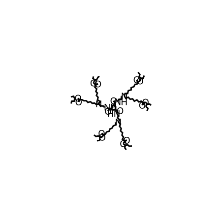 CCCC(CC)OC(=O)CCCCCCCCN(CCCCCCCCC(=O)OC(CC)CCC)CCCNC(=O)c1cc(C(=O)NCCCN(CCCCCCCCC(=O)OC(CC)CCC)CCCCCCCCC(=O)OC(CC)CCC)cc(C(=O)NCCCN(CCCCCCCCC(=O)OC(CC)CCC)CCCCCCCCC(=O)OC(CC)CCC)c1